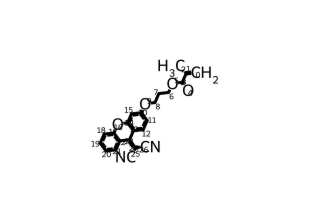 C=C(C)C(=O)OCCCOc1ccc2c(c1)Oc1ccccc1C2=C(C#N)C#N